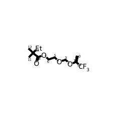 C=C(OCOCCOC(=O)C(C)(C)CC)C(F)(F)F